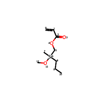 C=CC(=O)OC[Si](C)(CCC)OC